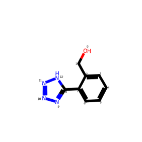 OCc1ccccc1-c1nnn[nH]1